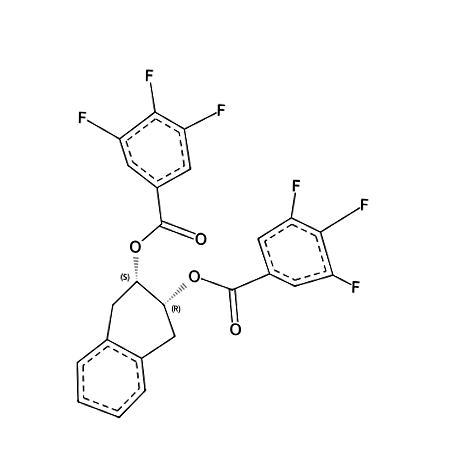 O=C(O[C@H]1Cc2ccccc2C[C@H]1OC(=O)c1cc(F)c(F)c(F)c1)c1cc(F)c(F)c(F)c1